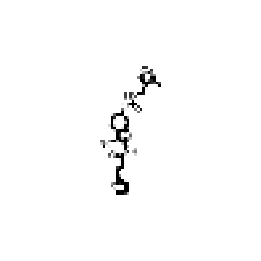 Cc1nocc1CNC(=O)OC1CCc2c(sc(NC(=O)C=Cc3cccs3)c2C#N)C1